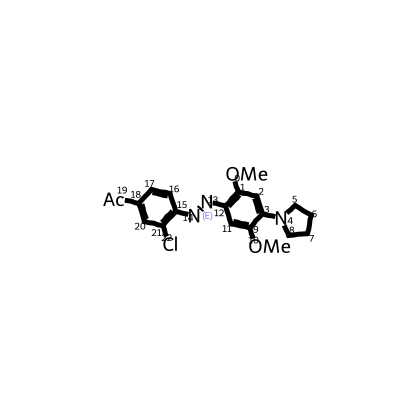 COc1cc(N2CCCC2)c(OC)cc1/N=N/c1ccc(C(C)=O)cc1Cl